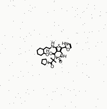 Cc1c(C2NC=CO2)sc(NCCC2CCCCC2O)c1C(=O)N(S(=O)O)C(C)(C)C(=O)N1CCCC1